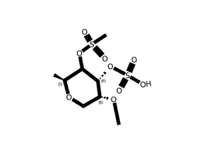 CO[C@@H]1CO[C@@H](C)C(OS(C)(=O)=O)[C@@H]1OS(=O)(=O)O